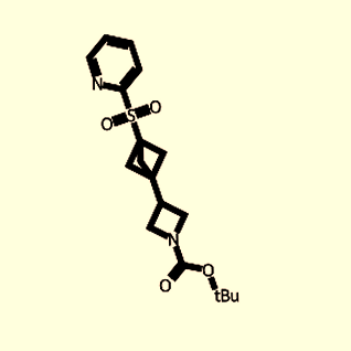 CC(C)(C)OC(=O)N1CC(C23CC(S(=O)(=O)c4ccccn4)(C2)C3)C1